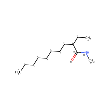 CCCCCCCCC(CC)C(=O)NC